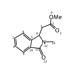 COC(=O)CC1c2ccccc2C(=O)N1C